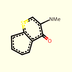 CNc1csc2ccccc2c1=O